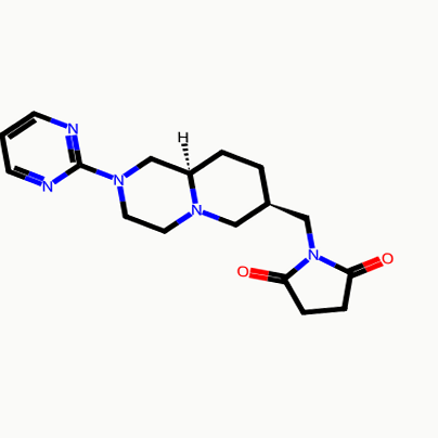 O=C1CCC(=O)N1C[C@@H]1CC[C@@H]2CN(c3ncccn3)CCN2C1